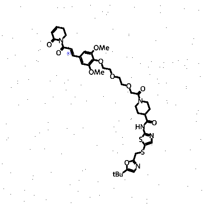 COc1cc(/C=C/C(=O)N2CCC=CC2=O)cc(OC)c1OCCOCCOCC(=O)N1CCC(C(=O)Nc2ncc(SCc3ncc(C(C)(C)C)o3)s2)CC1